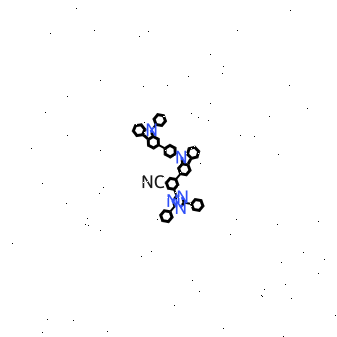 N#Cc1cc(-c2ccc3c4ccccc4n(-c4ccc(-c5ccc6c7ccccc7n(-c7ccccc7)c6c5)cc4)c3c2)cc(-c2nc(-c3ccccc3)nc(-c3ccccc3)n2)c1